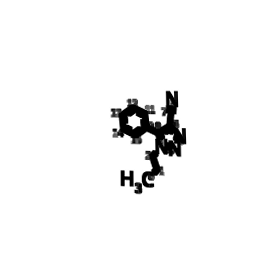 CCCn1nnc(C#N)c1-c1ccccc1